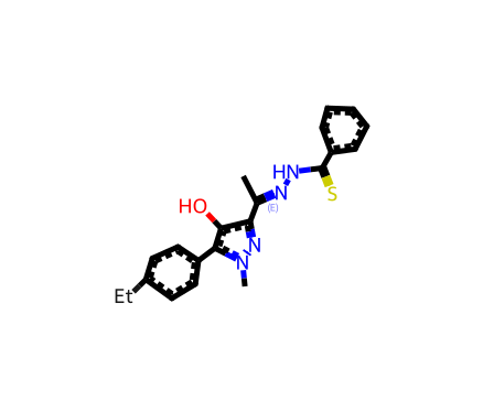 CCc1ccc(-c2c(O)c(/C(C)=N/NC(=S)c3ccccc3)nn2C)cc1